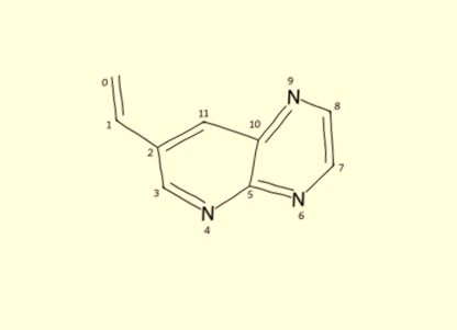 C=Cc1cnc2nccnc2c1